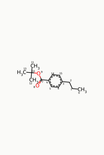 CCCc1ccc(C(=O)OC(C)(C)C)cc1